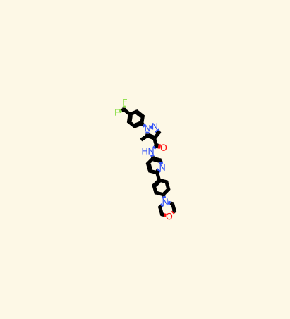 Cc1c(C(=O)Nc2ccc(C3=CCC(N4CCOCC4)CC3)nc2)cnn1-c1ccc(C(F)F)cc1